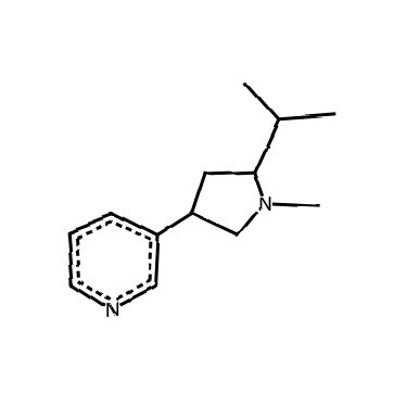 CC(C)C1CC(c2cccnc2)CN1C